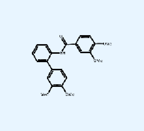 COc1ccc(C(=O)Nc2ccccc2-c2ccc(OC)c(OC)c2)cc1OC